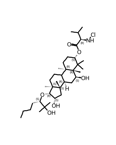 CCCC[C@H](O[C@H]1[C@@H](O)C[C@@]2(C)[C@@H]3C[C@H](O)[C@@]4(C)C(C)(C)[C@@H](OC(=O)[C@H](NCl)C(C)C)CC[C@]4(C)C3CC[C@]12C)C(C)(C)O